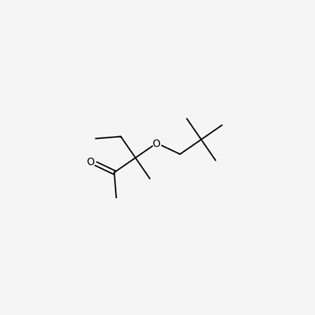 CCC(C)(OCC(C)(C)C)C(C)=O